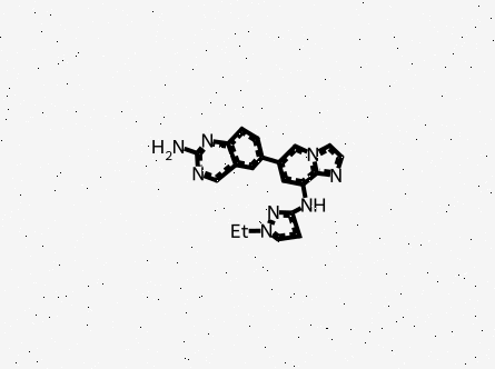 CCn1ccc(Nc2cc(-c3ccc4nc(N)ncc4c3)cn3ccnc23)n1